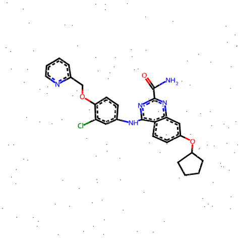 NC(=O)c1nc(Nc2ccc(OCc3ccccn3)c(Cl)c2)c2c[c]c(OC3CCCC3)cc2n1